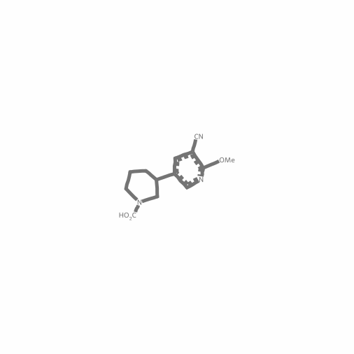 COc1ncc(C2CCCN(C(=O)O)C2)cc1C#N